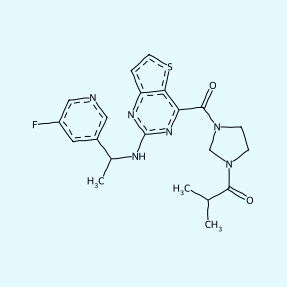 CC(C)C(=O)N1CCN(C(=O)c2nc(NC(C)c3cncc(F)c3)nc3ccsc23)C1